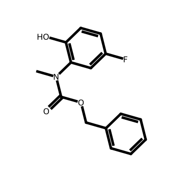 CN(C(=O)OCc1ccccc1)c1cc(F)ccc1O